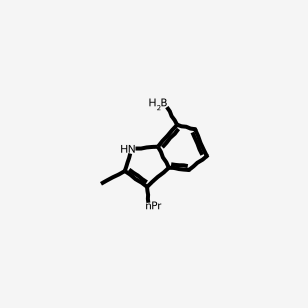 Bc1cccc2c(CCC)c(C)[nH]c12